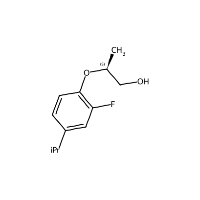 CC(C)c1ccc(O[C@@H](C)CO)c(F)c1